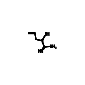 C=CCN(S)C(=N)N